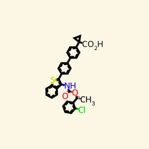 C[C@@H](OC(=O)Nc1c(-c2ccc(-c3ccc(C4(C(=O)O)CC4)cc3)cc2)sc2ccccc12)c1ccccc1Cl